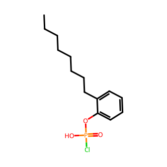 CCCCCCCCc1ccccc1OP(=O)(O)Cl